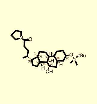 CC(CCC(=O)N1CCCC1)[C@H]1CC[C@H]2[C@@H]3[C@H](O)C[C@@H]4C[C@H](O[Si](C)(C)C(C)(C)C)CC[C@]4(C)[C@H]3CC[C@]12C